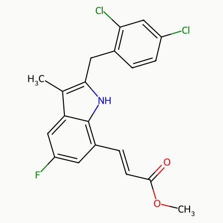 COC(=O)C=Cc1cc(F)cc2c(C)c(Cc3ccc(Cl)cc3Cl)[nH]c12